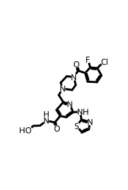 O=C(NCCO)c1cc(CN2CCN(C(=O)c3cccc(Cl)c3F)CC2)nc(Nc2nccs2)c1